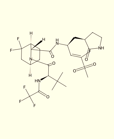 CC(C)(C)[C@@H](NC(=O)C(F)(F)F)C(=O)N1[C@H]2CC[C@@H]([C@@H]1C(=O)N[C@H](/C=C(\F)S(C)(=O)=O)C[C@H]1CCNC1=O)C(F)(F)C2